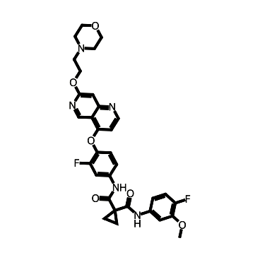 COc1cc(NC(=O)C2(C(=O)Nc3ccc(Oc4ccnc5cc(OCCN6CCOCC6)ncc45)c(F)c3)CC2)ccc1F